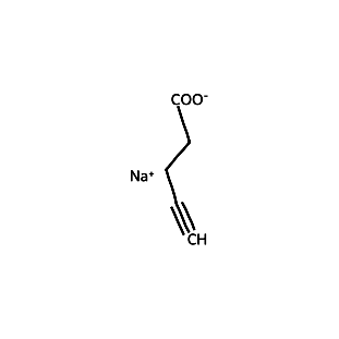 C#CCCC(=O)[O-].[Na+]